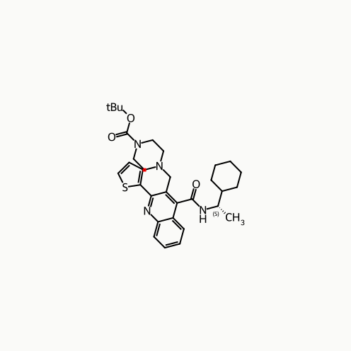 C[C@H](NC(=O)c1c(CN2CCN(C(=O)OC(C)(C)C)CC2)c(-c2cccs2)nc2ccccc12)C1CCCCC1